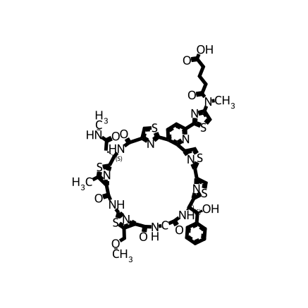 CNC(=O)C[C@@H]1NC(=O)c2csc(n2)-c2ccc(-c3nc(N(C)C(=O)CCCC(=O)O)cs3)nc2-c2csc(n2)-c2csc(n2)[C@H]([C@@H](O)c2ccccc2)NC(=O)CNC(=O)c2nc(sc2COC)NC(=O)c2nc1sc2C